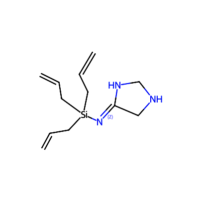 C=CC[Si](CC=C)(CC=C)/N=C1/CNCN1